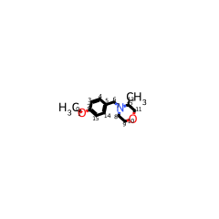 COc1ccc(CN2CCOC[C@@H]2C)cc1